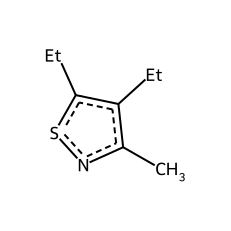 CCc1snc(C)c1CC